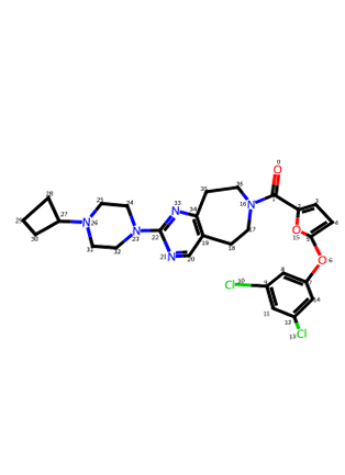 O=C(c1ccc(Oc2cc(Cl)cc(Cl)c2)o1)N1CCc2cnc(N3CCN(C4CCC4)CC3)nc2CC1